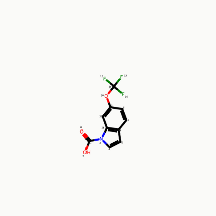 O=C(O)n1ccc2ccc(OC(F)(F)F)cc21